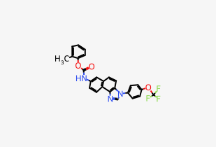 Cc1ccccc1OC(=O)Nc1ccc2c(ccc3c2ncn3-c2ccc(OC(F)(F)F)cc2)c1